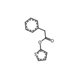 O=C(Cc1ccccc1)Oc1cccs1